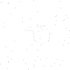 FC(F)(F)C1C[CH]CCCC1